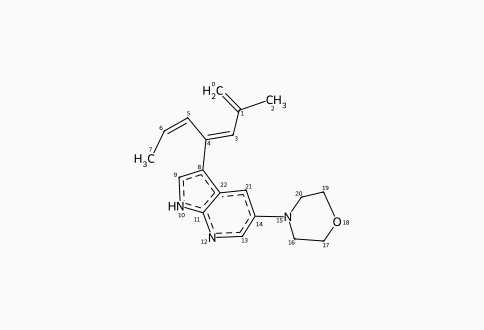 C=C(C)/C=C(\C=C/C)c1c[nH]c2ncc(N3CCOCC3)cc12